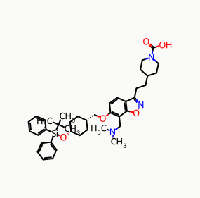 CN(C)Cc1c(OC[C@H]2CC[C@@H](O[Si](c3ccccc3)(c3ccccc3)C(C)(C)C)CC2)ccc2c(CCC3CCN(C(=O)O)CC3)noc12